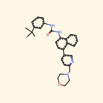 CC(C)(C)c1cccc(NC(=O)Nc2ccc(-c3ccc(CN4CCOCC4)nc3)c3ccccc23)c1